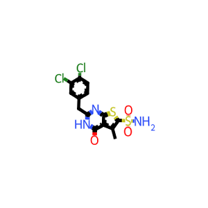 Cc1c(S(N)(=O)=O)sc2nc(Cc3ccc(Cl)c(Cl)c3)[nH]c(=O)c12